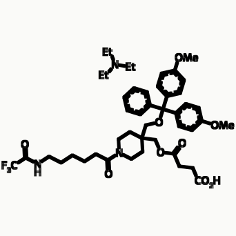 CCN(CC)CC.COc1ccc(C(OCC2(COC(=O)CCC(=O)O)CCN(C(=O)CCCCCNC(=O)C(F)(F)F)CC2)(c2ccccc2)c2ccc(OC)cc2)cc1